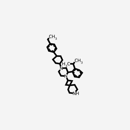 CCc1ccc(C2CCC(N3CCN(C4CC5(CCNCC5)C4)C(c4ccccc4C(C)C)C3)CC2)cc1